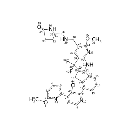 COc1cccc(-c2ccnc(-c3cccc4c3CC[C@@H]4Nc3nc(OC)c(CNC[C@@H]4CCC(=O)N4)cc3C(F)(F)F)c2Cl)n1